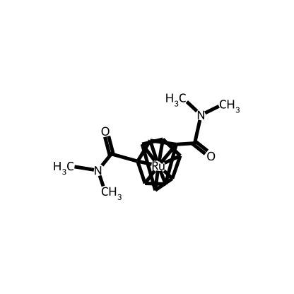 CN(C)C(=O)[C]12[CH]3[CH]4[C]5(C(=O)N(C)C)[CH]1[Ru]34251678[CH]2[CH]1[CH]6[CH]7[CH]28